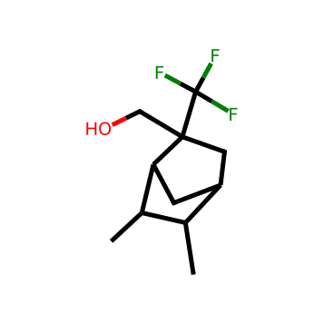 CC1C2CC(C1C)C(CO)(C(F)(F)F)C2